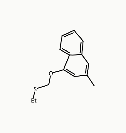 CCSCOc1cc(C)cc2ccccc12